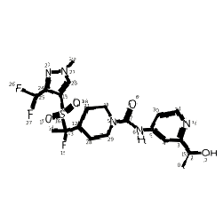 C[C@H](O)c1cc(NC(=O)N2CCC(C(C)(F)S(=O)(=O)c3cn(C)nc3C(F)F)CC2)ccn1